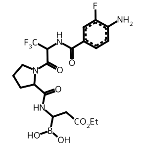 CCOC(=O)CC(NC(=O)C1CCCN1C(=O)C(NC(=O)c1ccc(N)c(F)c1)C(F)(F)F)B(O)O